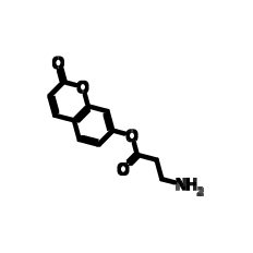 NCCC(=O)Oc1ccc2ccc(=O)oc2c1